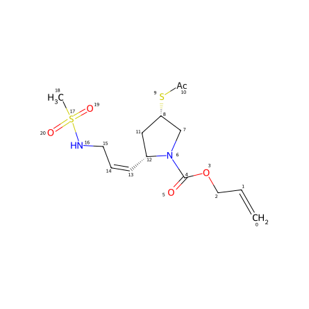 C=CCOC(=O)N1C[C@@H](SC(C)=O)C[C@H]1/C=C\CNS(C)(=O)=O